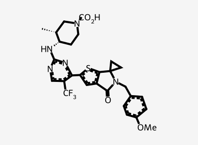 COc1ccc(CN2C(=O)c3cc(-c4nc(N[C@H]5CCN(C(=O)O)C[C@H]5C)ncc4C(F)(F)F)sc3C23CC3)cc1